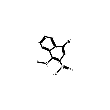 COc1c([N+](=O)[O-])cc(Br)c2ccccc12